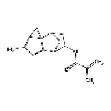 C=C(C)C(=O)OC1CC2CC1C1CC(O)C3CC231